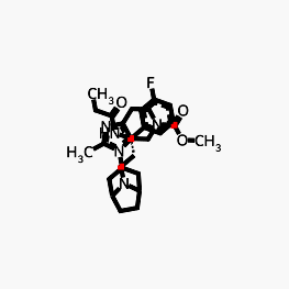 CCC(=O)N[C@@H](CCN1C2CCC1CC(n1c(C)nc3c1CN(C(=O)OC)CC3)C2)c1cccc(F)c1